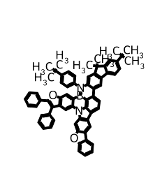 CC(C)(C)c1ccc(N2B3c4cc5oc(-c6ccccc6)c(-c6ccccc6)c5cc4-n4c5cc6oc7ccccc7c6cc5c5ccc(c3c54)-c3cc4c(cc32)C(C)(C)c2cc(C(C)(C)C)ccc2-4)cc1